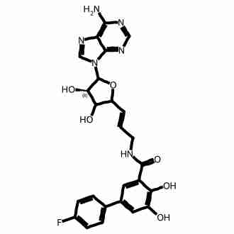 Nc1ncnc2c1ncn2C1OC(C=CCNC(=O)c2cc(-c3ccc(F)cc3)cc(O)c2O)C(O)[C@H]1O